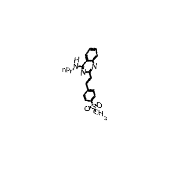 CCCNc1nc(C=Cc2ccc(S(C)(=O)=O)cc2)nc2ccccc12